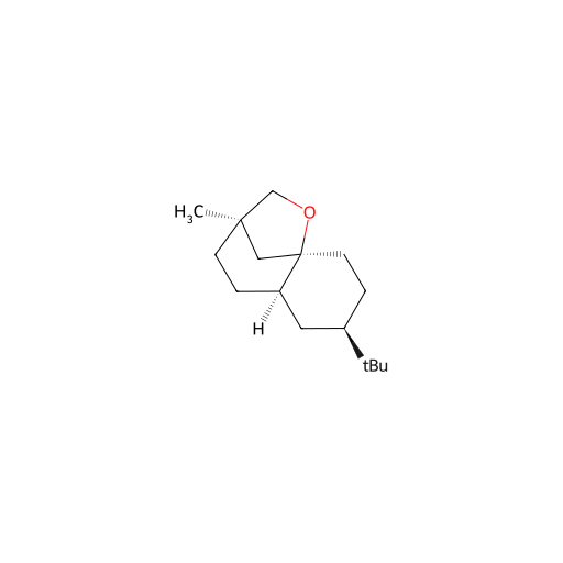 CC(C)(C)[C@@H]1CC[C@@]23C[C@@](C)(CC[C@@H]2C1)CO3